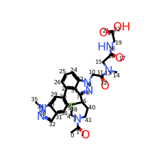 CC(=O)N1CCC(c2nn(CC(=O)N(C)CC(=O)NCC(=O)O)c3cccc(-c4cc5c(cnn5C)cc4F)c23)CC1